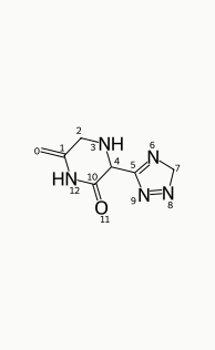 C=C1CNC(C2=NCN=N2)C(=O)N1